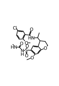 CNC(=O)NS(=O)(=O)c1cc2c(cc1OC)OCCC2C(C)NC(=O)c1cc(Cl)ccc1OC